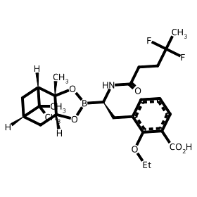 CCOc1c(C[C@H](NC(=O)CCC(C)(F)F)B2O[C@@H]3C[C@@H]4C[C@@H](C4(C)C)[C@]3(C)O2)cccc1C(=O)O